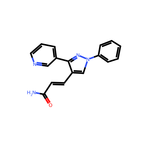 NC(=O)/C=C/c1cn(-c2ccccc2)nc1-c1cccnc1